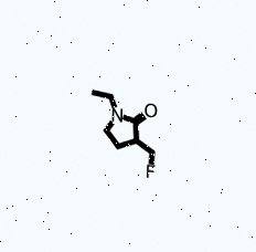 CCN1CCC(CF)C1=O